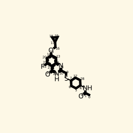 CC(=O)N[C@H]1CC[C@@H](SCc2nc3cc(OCC4CC4)cc(F)c3c(=O)[nH]2)CC1